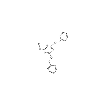 ClOc1nc(OCc2ccccc2)nc(OCc2ccccc2)n1